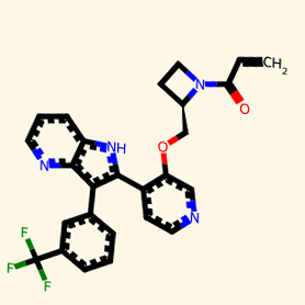 C=CC(=O)N1CC[C@@H]1COc1cnccc1-c1[nH]c2cccnc2c1-c1cccc(C(F)(F)F)c1